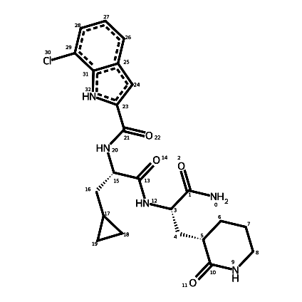 NC(=O)[C@H](C[C@@H]1CCCNC1=O)NC(=O)[C@H](CC1CC1)NC(=O)c1cc2cccc(Cl)c2[nH]1